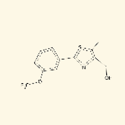 Cc1sc(-c2cccc(OC(F)(F)F)c2)nc1CO